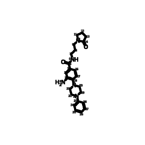 Nc1cc(C(=O)NCCCN2CCCC2=O)ccc1N1CCN(c2ccccc2)CC1